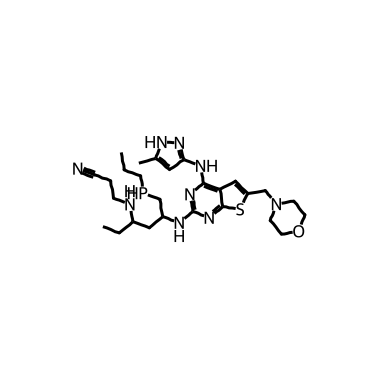 CCCPCC(CC(CC)NCCC#N)Nc1nc(Nc2cc(C)[nH]n2)c2cc(CN3CCOCC3)sc2n1